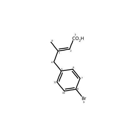 CC(=CC(=O)O)Cc1ccc(Br)cc1